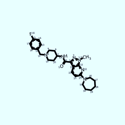 Cn1nc(C(=O)NC2CCN(Cc3ccc(F)cc3)CC2)c2ccc(N3CCCCCC3)nc21